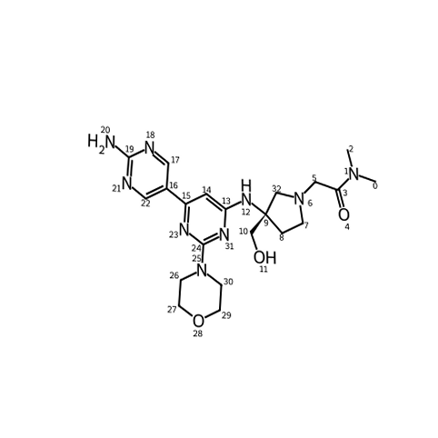 CN(C)C(=O)CN1CC[C@](CO)(Nc2cc(-c3cnc(N)nc3)nc(N3CCOCC3)n2)C1